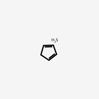 C1=CCC=C1.S